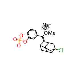 COC(=C1C2CC3CC1CC(Cl)(C3)C2)c1cccc(OP(=O)([O-])[O-])c1.[Na+].[Na+]